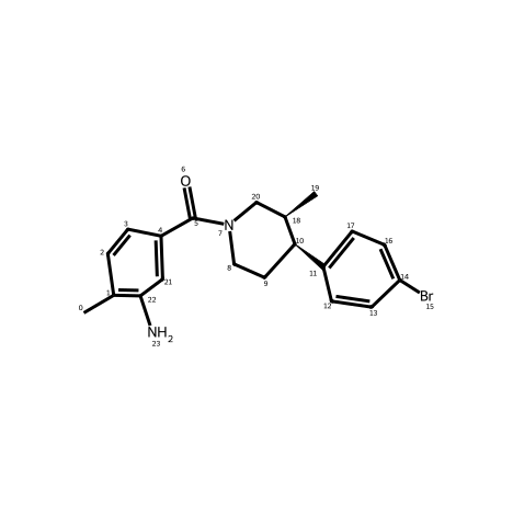 Cc1ccc(C(=O)N2CC[C@H](c3ccc(Br)cc3)[C@H](C)C2)cc1N